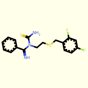 N=C(c1ccccc1)N(CCSCc1ccc(F)cc1F)C(N)=S